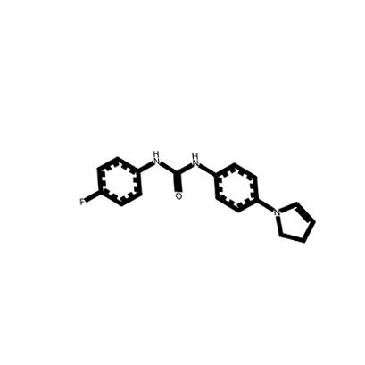 O=C(Nc1ccc(F)cc1)Nc1ccc(N2C=CCC2)cc1